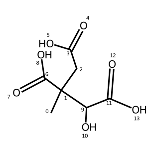 CC(CC(=O)O)(C(=O)O)C(O)C(=O)O